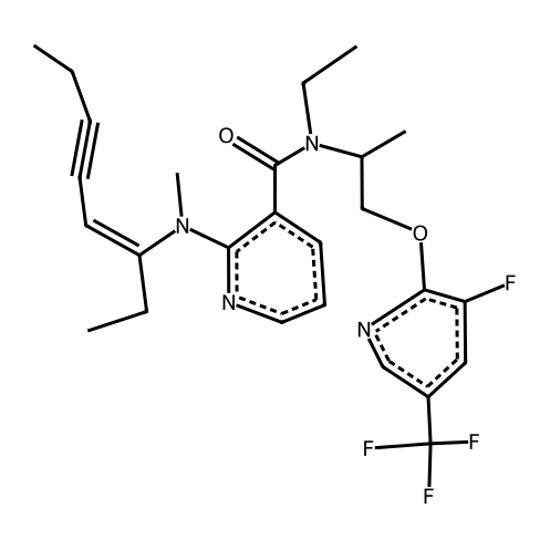 CCC#C/C=C(/CC)N(C)c1ncccc1C(=O)N(CC)C(C)COc1ncc(C(F)(F)F)cc1F